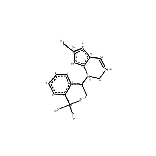 CC(c1ccccc1C(F)(F)F)N1CN=Cc2sc(I)cc21